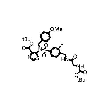 COc1ccc(CN(c2scnc2C(=O)OC(C)(C)C)S(=O)(=O)c2ccc(CNC(=O)CNC(=O)OC(C)(C)C)c(F)c2)cc1